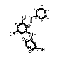 O=C(O)C=C(Nc1cc(Cl)cc(Cl)c1OCc1ccccc1)C(=O)O